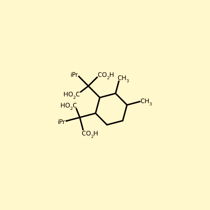 CC1CCC(C(C(=O)O)(C(=O)O)C(C)C)C(C(C(=O)O)(C(=O)O)C(C)C)C1C